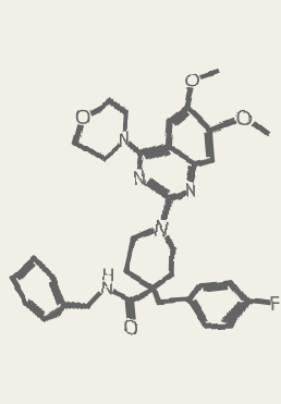 COc1cc2nc(N3CCC(Cc4ccc(F)cc4)(C(=O)NCc4ccccc4)CC3)nc(N3CCOCC3)c2cc1OC